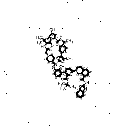 Cc1ncsc1-c1ccc([C@H](C)NC(=O)[C@@H]2C[C@@H](O)CN2C(=O)[C@@H](NC(=O)CN2CCC(COc3cccc(-c4ccc(N5CCc6cccc(C(=O)Nc7nc8ccccc8s7)c6C5)nc4C(=O)OC(C)(C)C)c3C)CC2)C(C)(C)C)cc1